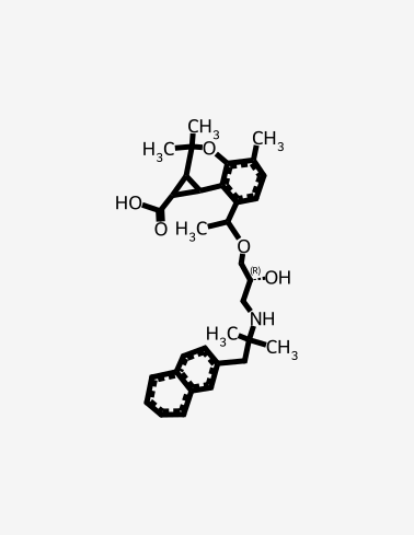 Cc1ccc(C(C)OC[C@H](O)CNC(C)(C)Cc2ccc3ccccc3c2)c2c1OC(C)(C)C1C(C(=O)O)C21